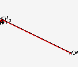 CCCCCCCCCCCCCCCCCCCCCCCCCCCCCCCCCCCCCCCCCCCCCCCCCCCCCCCCCCCCCCCCCCCCCCCCCCCCCCCCCCCCCCCCCCCCCCCCCCCCCCCCCCCCCCCCC(C)SC1CC(=O)N(CCC)C1=O